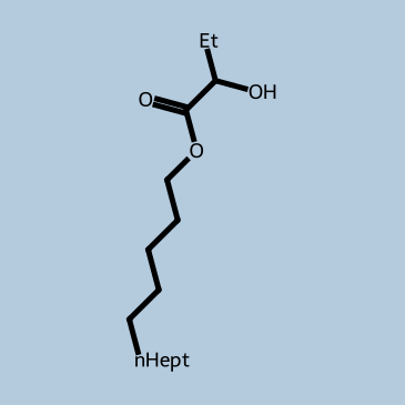 CCCCCCCCCCCCOC(=O)C(O)CC